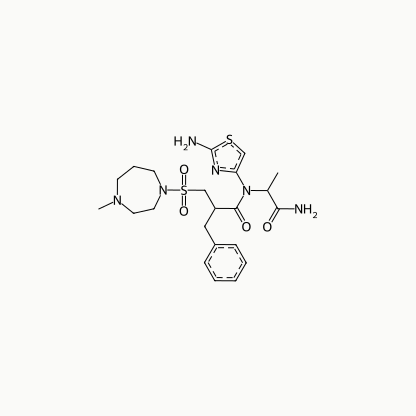 CC(C(N)=O)N(C(=O)C(Cc1ccccc1)CS(=O)(=O)N1CCCN(C)CC1)c1csc(N)n1